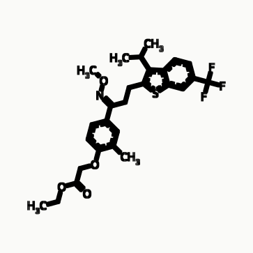 CCOC(=O)COc1ccc(C(CCc2sc3cc(C(F)(F)F)ccc3c2C(C)C)=NOC)cc1C